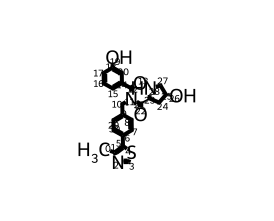 Cc1ncsc1-c1ccc(CN(C(=O)c2cccc(O)c2)C(=O)[C@@H]2C[C@@H](O)CN2)cc1